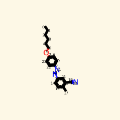 CCCCCCOc1ccc(/N=N/c2ccc(C)c(C#N)c2)cc1